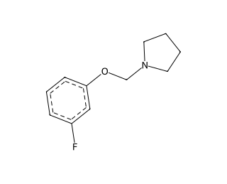 Fc1cccc(OCN2CCCC2)c1